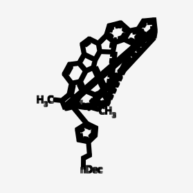 CCCCCCCCCCCCc1ccc(C2N(C)CC34C5=C6C7=C3C(C)C3=c8ccc9c%10ccc%11c%12c%13c%14c(c5c5c(c8c9c(c5%14)c%12%10)C324)=C2C6C(C=C7)C3C=CC%11C%13C23)cc1